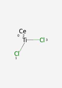 [Ce].[Cl][Ti][Cl]